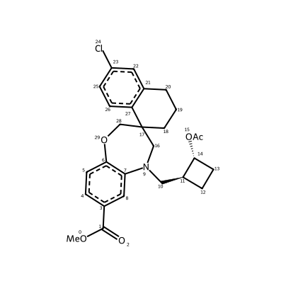 COC(=O)c1ccc2c(c1)N(C[C@@H]1CC[C@H]1OC(C)=O)CC1(CCCc3cc(Cl)ccc31)CO2